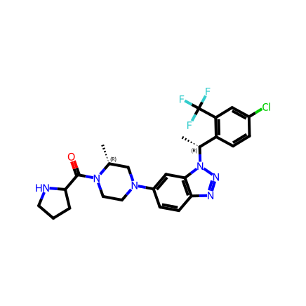 C[C@@H]1CN(c2ccc3nnn([C@H](C)c4ccc(Cl)cc4C(F)(F)F)c3c2)CCN1C(=O)C1CCCN1